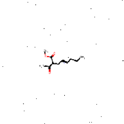 CCC/C=C/CC(C(C)=O)C(=O)OC